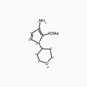 COc1c(N)cnn1C1CCOCC1